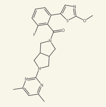 COc1ncc(-c2cccc(F)c2C(=O)N2CC3CN(c4nc(C)cc(C)n4)CC3C2)s1